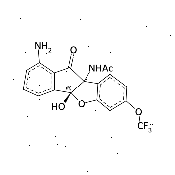 CC(=O)NC12C(=O)c3c(N)cccc3[C@@]1(O)Oc1cc(OC(F)(F)F)ccc12